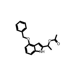 CC(=O)OC(C)c1cc2c(OCc3ccccc3)cccc2[nH]1